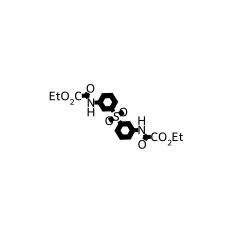 CCOC(=O)C(=O)Nc1cccc(S(=O)(=O)c2cccc(NC(=O)C(=O)OCC)c2)c1